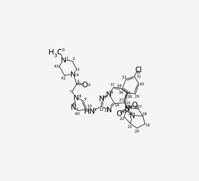 CN1CCN(C(=O)Cn2cc(Nc3nc4c(N5CC6CCC(C5)N6S(=O)(=O)Cc5ccc(Cl)cc5)cccn4n3)cn2)CC1